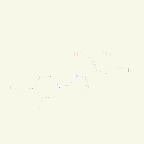 CCOC(=O)C1CCN(c2nc(-c3cc(C#N)ccc3O)cs2)CC1C